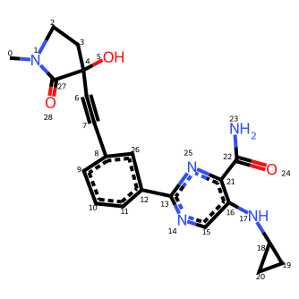 CN1CCC(O)(C#Cc2cccc(-c3ncc(NC4CC4)c(C(N)=O)n3)c2)C1=O